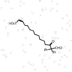 CCCCCCCC/C=C\CCCCCCCCCC(=O)C([C]=O)(C(C)C)C(C)C